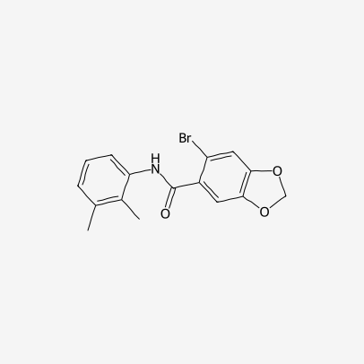 Cc1cccc(NC(=O)c2cc3c(cc2Br)OCO3)c1C